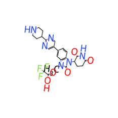 Cn1c(=O)n(C2CCC(=O)NC2=O)c2ccc(-c3cnc(C4CCNCC4)nc3)cc21.O=C(O)C(F)(F)F